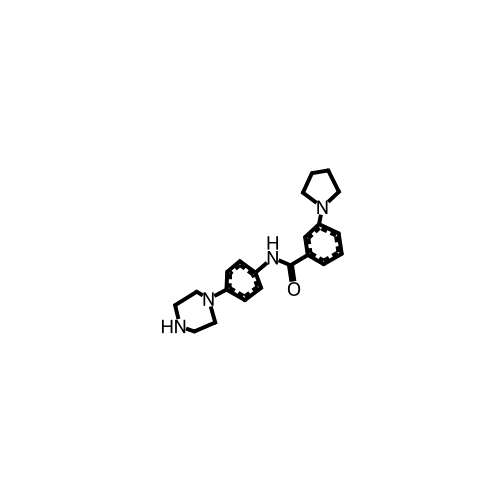 O=C(Nc1ccc(N2CCNCC2)cc1)c1cccc(N2CCCC2)c1